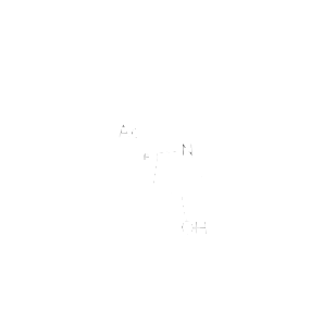 CC(=O)[C@H]1CC(O)CN1C